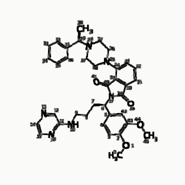 COc1ccc([C@@H](CCCNc2cnccn2)N2C(=O)c3cccc(N4CCN([C@H](C)c5ccccc5)CC4)c3C2=O)cc1OC